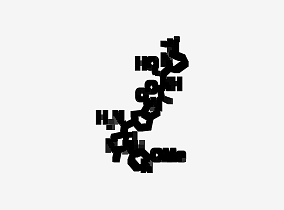 C=C(/N=C\C(Cl)=C(/N)c1ccc2c(c1)C(=O)N([C@H](C)C(=O)N[C@H](CO)c1cccc(N(C)C)n1)C2)Nc1ccnc(OC)c1